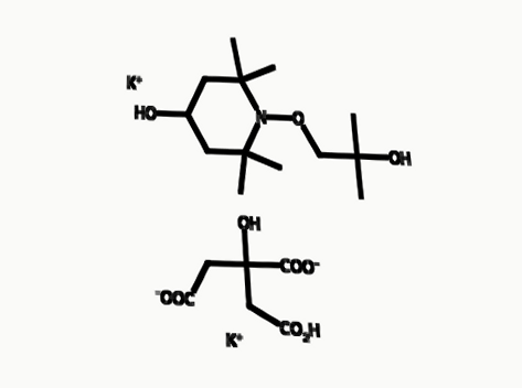 CC(C)(O)CON1C(C)(C)CC(O)CC1(C)C.O=C([O-])CC(O)(CC(=O)O)C(=O)[O-].[K+].[K+]